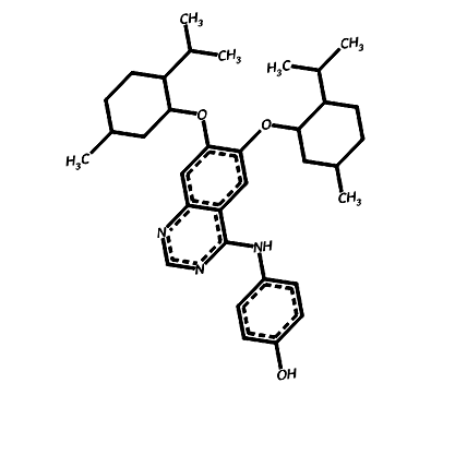 CC1CCC(C(C)C)C(Oc2cc3ncnc(Nc4ccc(O)cc4)c3cc2OC2CC(C)CCC2C(C)C)C1